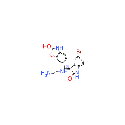 NCCN/C(=C1\C(=O)Nc2ccc(Br)cc21)c1ccc2c(c1)OC(O)N2